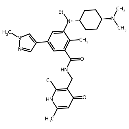 CCN(c1cc(-c2cnn(C)c2)cc(C(=O)NCc2c(Cl)[nH]c(C)cc2=O)c1C)[C@H]1CC[C@H](N(C)C)CC1